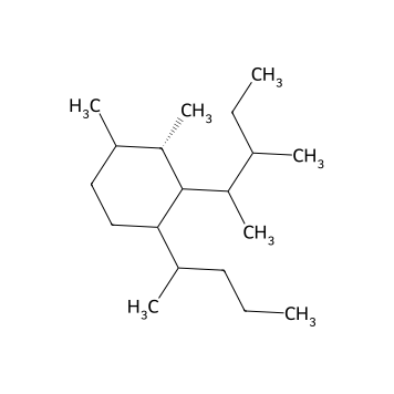 CCCC(C)C1CCC(C)[C@H](C)C1C(C)C(C)CC